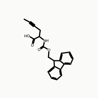 CC#CCC(NC(=O)OCC1c2ccccc2-c2ccccc21)C(=O)O